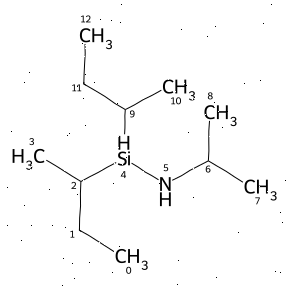 CCC(C)[SiH](NC(C)C)C(C)CC